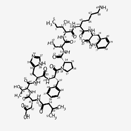 CC[C@H](C)[C@H](NC(=O)C(CS)NC(=O)[C@@H]1CCCN1C(=O)[C@H](Cc1ccccc1)NC(=O)[C@H](Cc1cnc[nH]1)NC(=O)[C@@H](NC(=O)[C@H](CC(=O)O)NC(=O)CC(C)C)[C@@H](C)O)C(=O)NC(CCCCN)C(=O)N[C@@H](Cc1ccccc1)C(N)=O